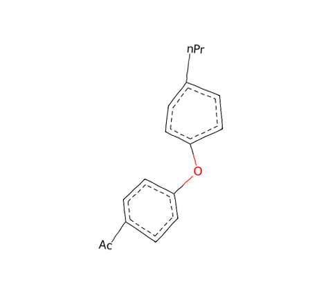 CCCc1ccc(Oc2ccc(C(C)=O)cc2)cc1